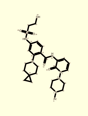 CC(=O)N1CCN(n2cccc(NC(=O)c3ccc(NS(=O)(=O)CCO)cc3N3CCC4(CC3)CC4)c2=O)CC1